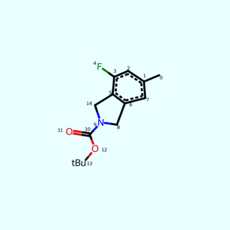 Cc1cc(F)c2c(c1)CN(C(=O)OC(C)(C)C)C2